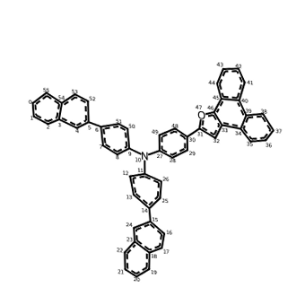 c1ccc2cc(-c3ccc(N(c4ccc(-c5ccc6ccccc6c5)cc4)c4ccc(-c5cc6c7ccccc7c7ccccc7c6o5)cc4)cc3)ccc2c1